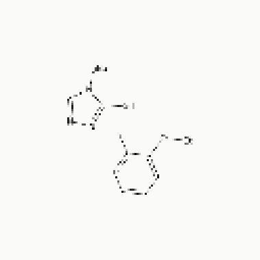 CCCCn1cnnc1S.CCOc1ccccc1C